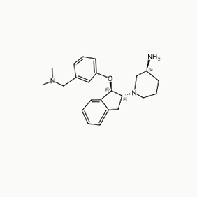 CN(C)Cc1cccc(O[C@@H]2c3ccccc3C[C@H]2N2CCC[C@H](N)C2)c1